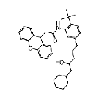 CC(C)(C)c1ccc(CCCC(O)CC2CCCCC2)cc1NC(=O)CC1c2ccccc2Oc2ccccc21